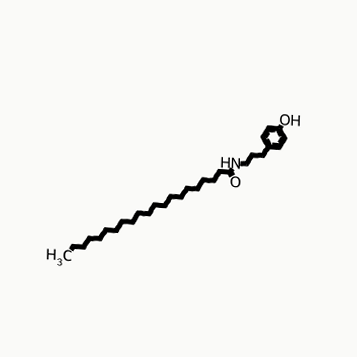 CCCCCCCCCCCCCCCCCCCCC(=O)NCCCc1ccc(O)cc1